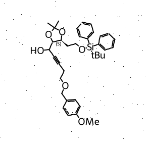 COc1ccc(COCCC#CC(O)C2OC(C)(C)O[C@H]2CCO[Si](c2ccccc2)(c2ccccc2)C(C)(C)C)cc1